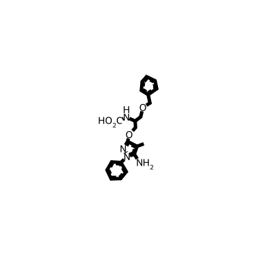 Cc1c(OCC(COCc2ccccc2)NC(=O)O)nn(-c2ccccc2)c1N